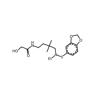 CCN(CC(C)(C)CCNC(=O)CO)Sc1ccc2c(c1)OCO2